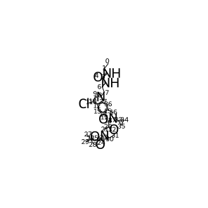 CCNC(=O)NCCn1cc(Cl)c2ccc(CN(C(=O)C3CN(C(=O)OC(C)(C)C)CCO3)C3CC3)cc21